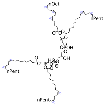 CCCCC/C=C\C/C=C\CCCCCCCC(=O)OC[C@H](COP(=O)(O)OCC(O)COP(=O)(O)OC[C@@H](COC(=O)CCC/C=C\C/C=C\C/C=C\CCCCCCCC)OC(=O)CCCCCCC/C=C\C/C=C\CCCCC)OC(=O)CCCCCCC/C=C\C/C=C\CCCCC